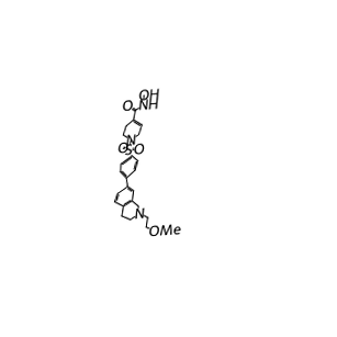 COCCN1CCc2ccc(-c3ccc(S(=O)(=O)N4CC=C(C(=O)NO)CC4)cc3)cc2C1